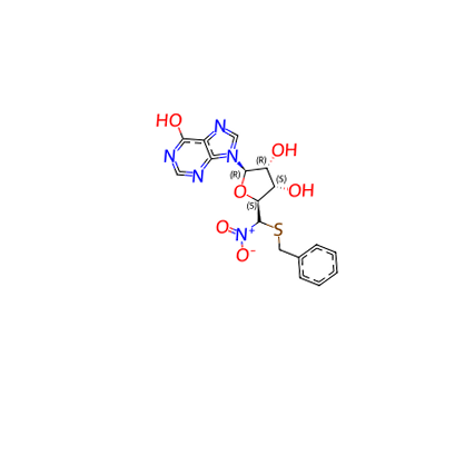 O=[N+]([O-])C(SCc1ccccc1)[C@H]1O[C@@H](n2cnc3c(O)ncnc32)[C@H](O)[C@@H]1O